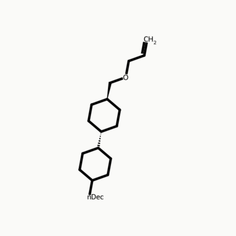 C=CCOC[C@H]1CC[C@H](C2CCC(CCCCCCCCCC)CC2)CC1